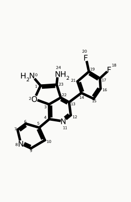 Nc1oc2c(-c3ccncc3)ncc(-c3ccc(F)c(F)c3)c2c1N